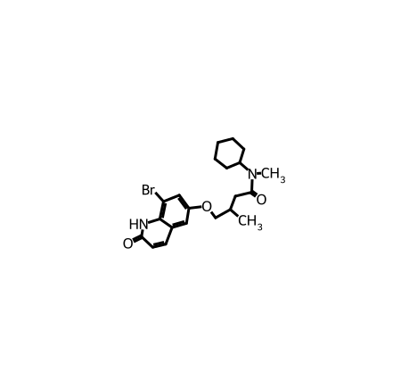 CC(COc1cc(Br)c2[nH]c(=O)ccc2c1)CC(=O)N(C)C1CCCCC1